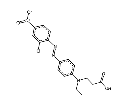 CCN(CCC(=O)O)c1ccc(N=Nc2ccc([N+](=O)[O-])cc2Cl)cc1